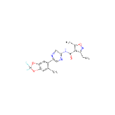 CCc1noc(C)c1C(=O)Nc1cnc(-c2cc3c(cc2C)OC(F)(F)O3)cn1